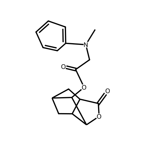 CN(CC(=O)OC1C2CC3C(=O)OC1C3C2)c1ccccc1